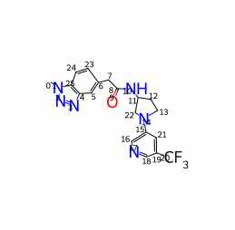 Cn1nnc2cc(CC(=O)NC3CCN(c4cncc(C(F)(F)F)c4)C3)ccc21